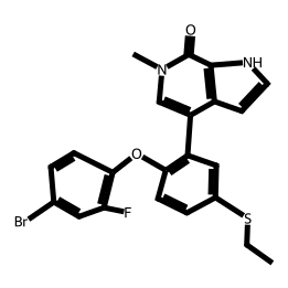 CCSc1ccc(Oc2ccc(Br)cc2F)c(-c2cn(C)c(=O)c3[nH]ccc23)c1